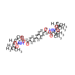 CC(C)C(NC(=O)OC(C)(C)C)C(=O)OCC(=O)c1ccc(-c2ccc3cc(C(=O)COC(=O)[C@@H](NC(=O)OC(C)(C)C)C(C)C)ccc3c2)cc1